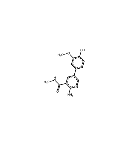 CNC(=O)c1cc(-c2ccc(O)c(OC)c2)cnc1N